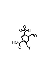 O=Cc1cc(CF)c(C(=O)O)cc1S(=O)(=O)Cl